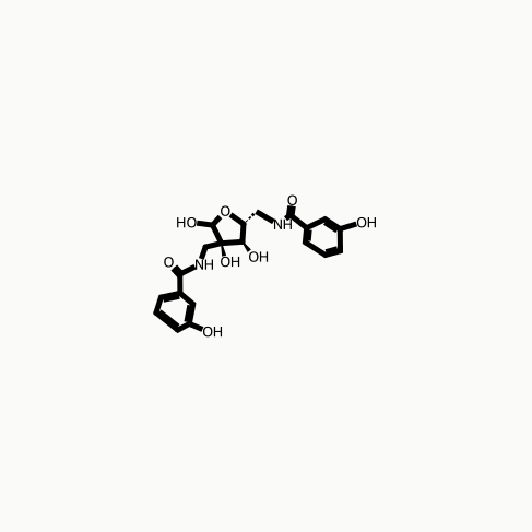 O=C(NC[C@H]1OC(O)[C@@](O)(CNC(=O)c2cccc(O)c2)[C@@H]1O)c1cccc(O)c1